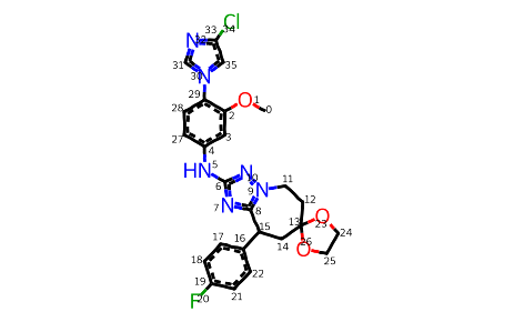 COc1cc(Nc2nc3n(n2)CCC2(CC3c3ccc(F)cc3)OCCO2)ccc1-n1cnc(Cl)c1